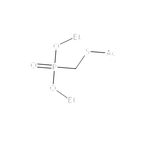 CCOP(=O)(CSC(C)=O)OCC